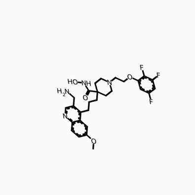 COc1ccc2ncc(CN)c(CCCC3(C(=O)NO)CCN(CCOc4cc(F)cc(F)c4F)CC3)c2c1